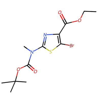 CCOC(=O)c1nc(N(C)C(=O)OC(C)(C)C)sc1Br